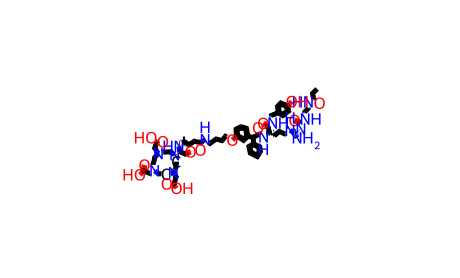 CCC(=O)NCCNC(=O)/N=C(/N)NCCC[C@@H](NC(=O)C(c1ccccc1)c1cccc(OCCCCNC(=O)CC[C@H](C)NC(C=O)N2CCN(CC(=O)O)CCN(CC(=O)O)CCN(CC(=O)O)CC2)c1)C(=O)NCc1ccc(O)cc1